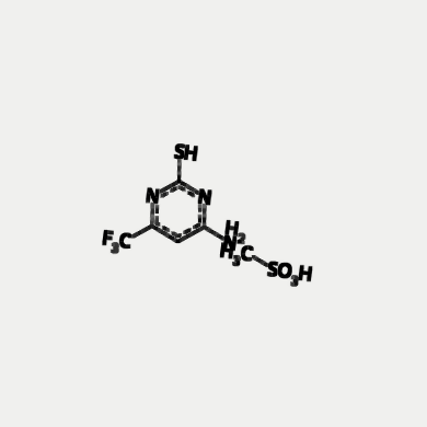 CS(=O)(=O)O.Nc1cc(C(F)(F)F)nc(S)n1